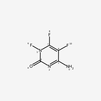 Nc1nc(=O)n(F)c(F)c1F